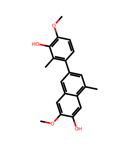 COc1cc2cc(-c3ccc(OC)c(O)c3C)cc(C)c2cc1O